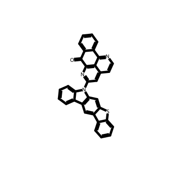 O=C1c2ccccc2-c2nccc3cc(-n4c5ccccc5c5cc6c(cc54)sc4ccccc46)nc1c23